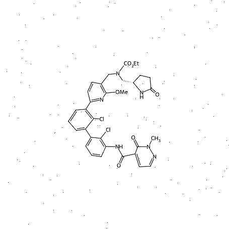 CCOC(=O)N(Cc1ccc(-c2cccc(-c3cccc(NC(=O)c4ccnn(C)c4=O)c3Cl)c2Cl)nc1OC)C[C@@H]1CCC(=O)N1